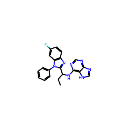 CCC(Nc1ncnc2nc[nH]c12)c1nc2ccc(F)cc2n1-c1ccccc1